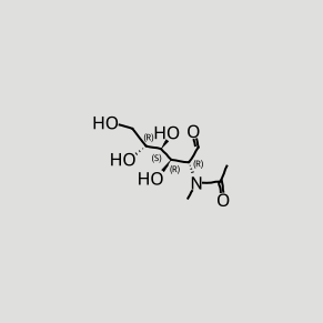 CC(=O)N(C)[C@@H](C=O)[C@@H](O)[C@H](O)[C@H](O)CO